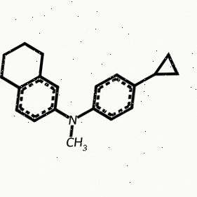 CN(c1ccc(C2CC2)cc1)c1ccc2c(c1)CCCC2